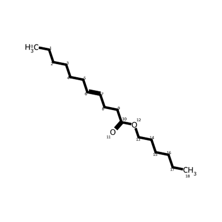 CCCCCCC=CCCC(=O)OCCCCCC